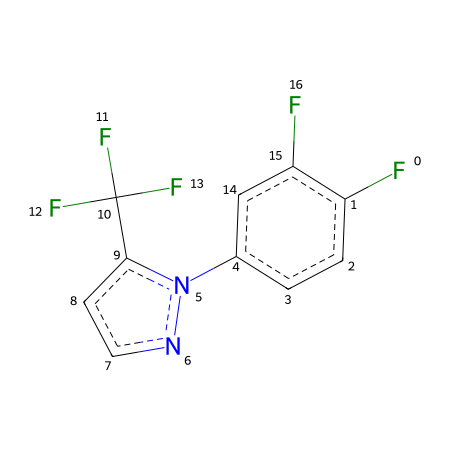 Fc1ccc(-n2nccc2C(F)(F)F)cc1F